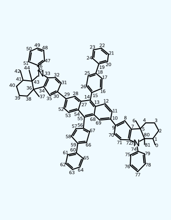 CC1CCCC2(C)c3cc(-c4ccc5c(-c6ccc(-c7ccccc7)cc6)c6cc(-c7ccc8c(c7)C7(C)CCCC(C)C7(C)N8c7ccccc7)ccc6c(-c6ccc(-c7ccccc7)cc6)c5c4)ccc3N(c3ccccc3)C12C